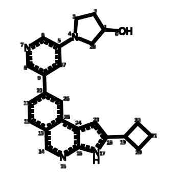 OC1CCN(c2cncc(-c3ccc4cnc5[nH]c(C6CCC6)cc5c4c3)c2)C1